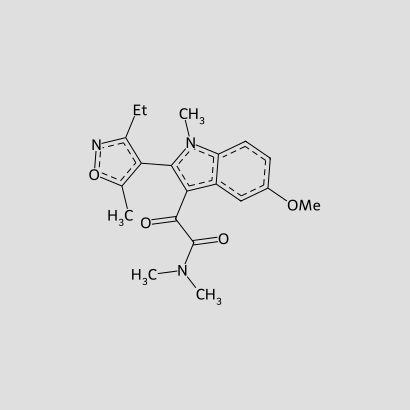 CCc1noc(C)c1-c1c(C(=O)C(=O)N(C)C)c2cc(OC)ccc2n1C